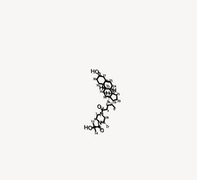 CC(CCC(=O)N1CCN(C(=O)C(C)(C)O)[C@@H](C)C1)[C@H]1CC[C@H]2[C@@H]3CC=C4C[C@@H](O)CC[C@]4(C)[C@H]3CC[C@]12C